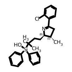 C[C@H]1CC(c2ccccc2Cl)=N[C@@H]1CCC(C)(C)[Si](O)(c1ccccc1)c1ccccc1